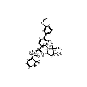 CC(C)Oc1cccc(-c2ccc(C(=O)NS(=O)(=O)c3ccc[nH]c3=O)c(N3CCC(C)C3(C)C)n2)c1